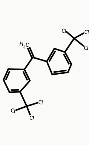 C=C(c1cccc(C(Cl)(Cl)Cl)c1)c1cccc(C(Cl)(Cl)Cl)c1